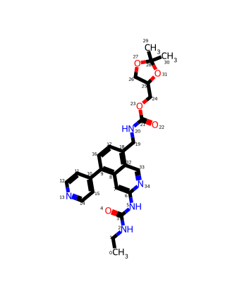 CCNC(=O)Nc1cc2c(-c3ccncc3)ccc(CNC(=O)OCC3COC(C)(C)O3)c2cn1